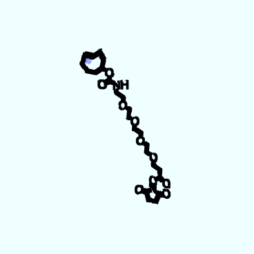 O=C(CCOCCOCCOCCOCCNC(=O)OC1CC/C=C/CCC1)ON1C(=O)CCC1=O